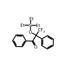 CC[Si](CC)(CC)OC(C(=O)c1ccccc1)(c1ccccc1)C(F)(F)F